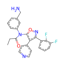 CCC(=O)N(c1cccc(CN)c1)c1onc(-c2cccc(F)c2F)c1-c1ccncc1